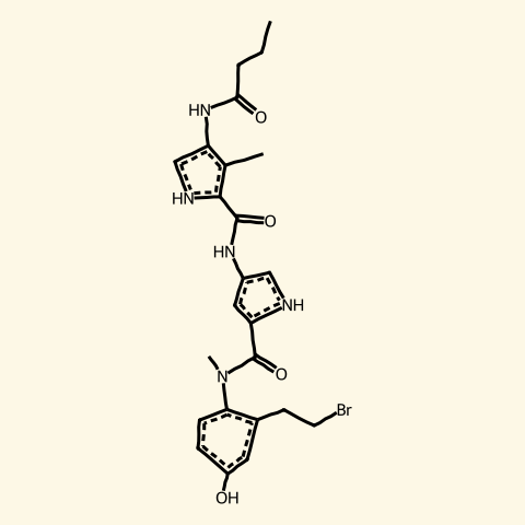 CCCC(=O)Nc1c[nH]c(C(=O)Nc2c[nH]c(C(=O)N(C)c3ccc(O)cc3CCBr)c2)c1C